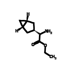 CCOC(=O)C(N)[C@@H]1C[C@@H]2C[C@@H]2C1